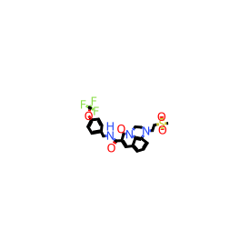 CS(=O)(=O)CCN1CCn2c(=O)c(C(=O)NCc3ccc(OC(F)(F)F)cc3)cc3cccc1c32